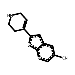 N#Cc1cnc2sc(C3=CCNCC3)cc2c1